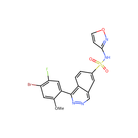 COc1cc(Br)c(F)cc1-c1nncc2cc(S(=O)(=O)Nc3ccon3)ccc12